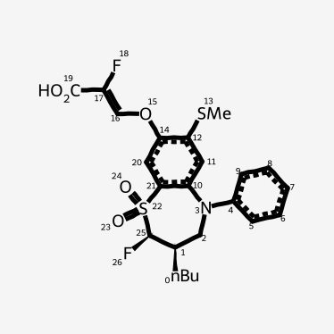 CCCC[C@@H]1CN(c2ccccc2)c2cc(SC)c(O/C=C(\F)C(=O)O)cc2S(=O)(=O)[C@@H]1F